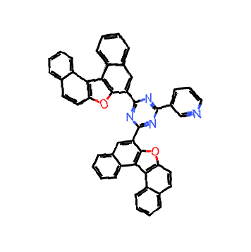 c1cncc(-c2nc(-c3cc4ccccc4c4c3oc3ccc5ccccc5c34)nc(-c3cc4ccccc4c4c3oc3ccc5ccccc5c34)n2)c1